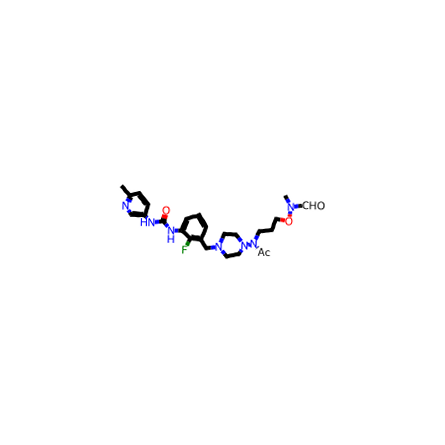 CC(=O)N(CCCON(C)C=O)N1CCN(Cc2cccc(NC(=O)Nc3ccc(C)nc3)c2F)CC1